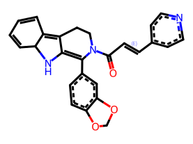 O=C(/C=C/c1ccncc1)N1CCC2=C3C=CC=CC3NC2=C1c1ccc2c(c1)OCO2